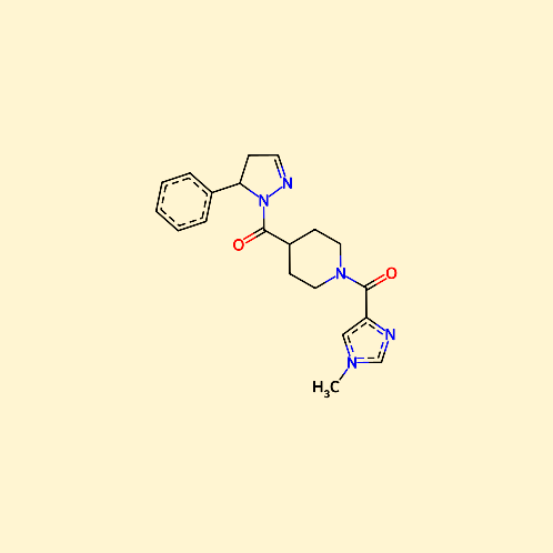 Cn1cnc(C(=O)N2CCC(C(=O)N3N=CCC3c3ccccc3)CC2)c1